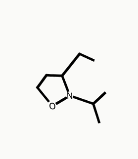 CCC1CCON1C(C)C